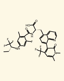 CC[C@@H](Nc1cc(C)c(C(=O)N[C@@H](Cc2ccc(-c3c(C(F)(F)F)cc(C)n(C)c3=O)c3ncccc23)C(=O)O)c(F)c1)C(F)(F)F